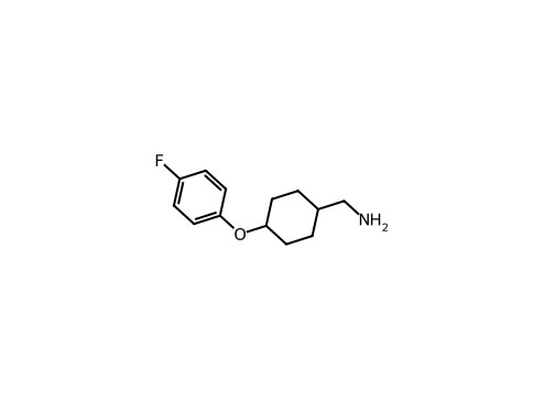 NCC1CCC(Oc2ccc(F)cc2)CC1